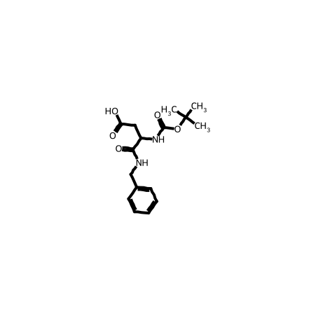 CC(C)(C)OC(=O)NC(CC(=O)O)C(=O)NCc1ccccc1